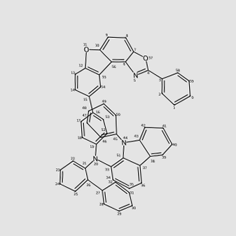 c1ccc(-c2nc3c(ccc4oc5ccc(-c6ccc(N(c7ccccc7-c7ccccc7)c7cccc8c9ccccc9n(-c9ccccc9)c78)cc6)cc5c43)o2)cc1